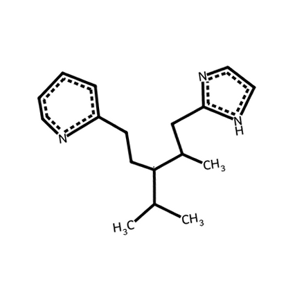 CC(C)[C](CCc1ccccn1)C(C)Cc1ncc[nH]1